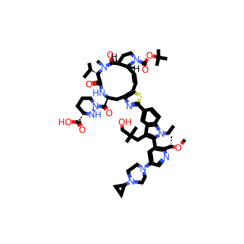 CCn1c(-c2cc(N3CCN(C4CC4)CC3)cnc2[C@H](C)OC)c(CC(C)(C)CO)c2cc(-c3nc4c(s3)C=C[C@@H]3[C@H](CCN3C(=O)OC(C)(C)C)C(=O)N(C)[C@@H](C(C)C)C(=O)N[C@H](C(=O)N3CCC[C@@H](C(=O)O)N3)C4)ccc21